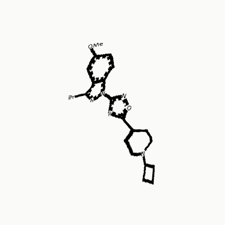 COc1ccc2c(c1)c(C(C)C)nn2-c1noc(C2CCN(C3CCC3)CC2)n1